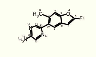 Cc1cc2oc(F)cc2cc1-c1cnc(N)cn1